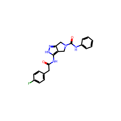 O=C(Cc1ccc(F)cc1)Nc1[nH]nc2c1CN(C(=O)Nc1ccccc1)C2